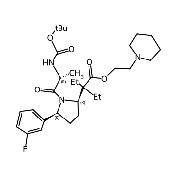 CCC(CC)(C(=O)OCCN1CCCCC1)[C@H]1CC[C@@H](c2cccc(F)c2)N1C(=O)[C@@H](C)NC(=O)OC(C)(C)C